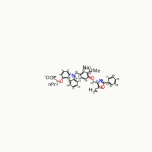 CCC[C@@H](Oc1cccc2c1c1ccccc1n2Cc1ccc(OCc2nc(-c3ccccc3)oc2C)c(OC)c1)C(=O)[O-].[Na+]